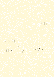 CNC(C)(C)C1CCC(C)CC1OC